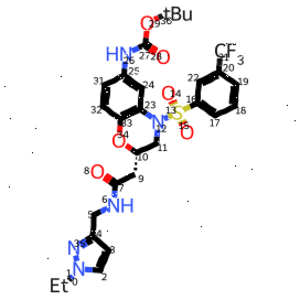 CCn1ccc(CNC(=O)C[C@H]2CN(S(=O)(=O)c3cccc(C(F)(F)F)c3)c3cc(NC(=O)OC(C)(C)C)ccc3O2)n1